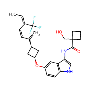 C=C(/C=C\C(=C/C)C(F)(F)F)[C@H]1C[C@@H](Oc2ccc3[nH]cc(NC(=O)C4(CO)CCC4)c3c2)C1